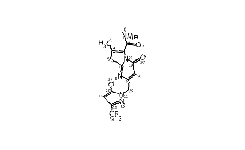 CNC(=O)c1c(C)sc2nc(Cn3nc(C(F)(F)F)cc3Cl)cc(=O)n12